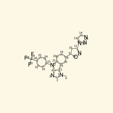 Cn1cnc2c1c1cc(C3CC(n4ccnn4)=NO3)ccc1n2-c1ccc(C(F)(F)F)cc1